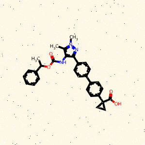 Cc1c(NC(=O)OC(C)c2ccccc2)c(-c2ccc(-c3ccc(C4(C(=O)O)CC4)cc3)cc2)nn1C